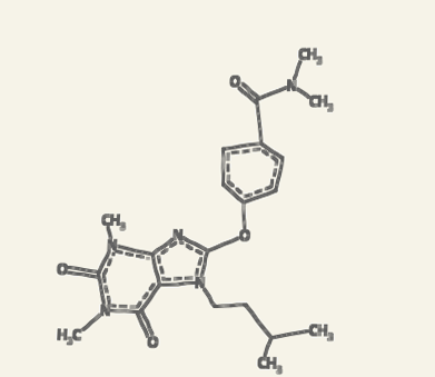 CC(C)CCn1c(Oc2ccc(C(=O)N(C)C)cc2)nc2c1c(=O)n(C)c(=O)n2C